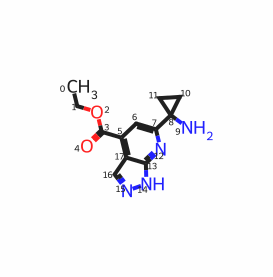 CCOC(=O)c1cc(C2(N)CC2)nc2[nH]ncc12